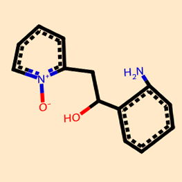 Nc1ccccc1C(O)Cc1cccc[n+]1[O-]